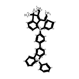 C=CC1=C(/C=C\C)c2c(N(c3ccccc3)c3ccc(-c4ccc5c(c4)c4ccccc4n5-c4ccccc4)cc3)cccc2C1(C)C